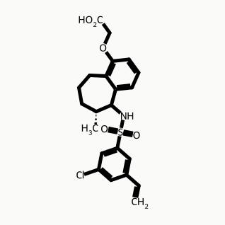 C=Cc1cc(Cl)cc(S(=O)(=O)NC2c3cccc(OCC(=O)O)c3CCC[C@H]2C)c1